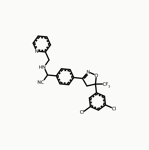 N#CC(NCc1ccccn1)c1ccc(C2=NOC(c3cc(Cl)cc(Cl)c3)(C(F)(F)F)C2)cc1